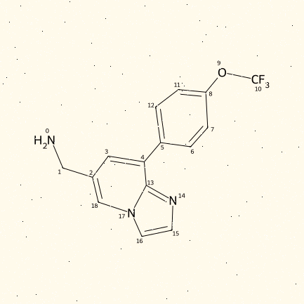 NCc1cc(-c2ccc(OC(F)(F)F)cc2)c2nccn2c1